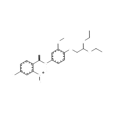 CCOC(COc1ccc(NC(=O)c2ccc(Cl)cc2[N+](=O)[O-])cc1OC)OCC